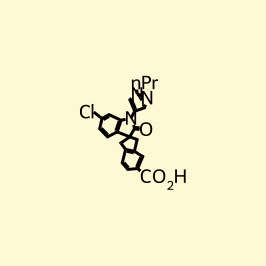 CCCn1cc(N2C(=O)C3(Cc4ccc(C(=O)O)cc4C3)c3ccc(Cl)cc32)cn1